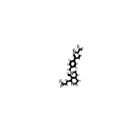 C=C/C(=C\N(C)CC(F)F)c1ccc(CN2CCC3=C(C2=C)C(CCC(F)F)=NCC3)cc1